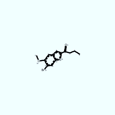 CCCC(=O)c1cc2cc(OC)c(Br)cc2s1